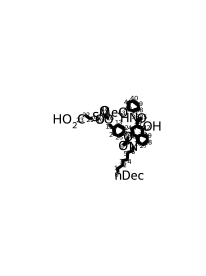 CCCCCCCCCCCCCCCCN(C(=O)Oc1ccc(COC(=O)OSCCC(=O)O)cc1)c1cccc2c(O)c(C(=O)Nc3ccccc3OC)ccc12